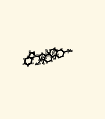 CC(=O)OC1CC[C@@]2(C)C(=CC[C@H]3[C@@H]4CC(n5cnc6ccccc65)[C@H](C(C)=O)[C@@]4(C)CC[C@@H]32)C1